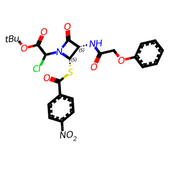 CC(C)(C)OC(=O)C(Cl)N1C(=O)[C@H](NC(=O)COc2ccccc2)[C@@H]1SC(=O)c1ccc([N+](=O)[O-])cc1